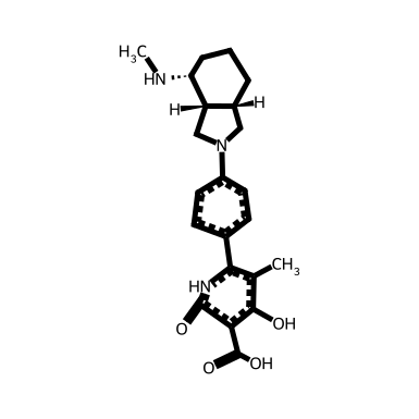 CN[C@@H]1CCC[C@@H]2CN(c3ccc(-c4[nH]c(=O)c(C(=O)O)c(O)c4C)cc3)C[C@@H]21